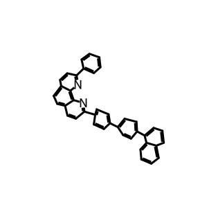 c1ccc(-c2ccc3ccc4ccc(-c5ccc(-c6ccc(-c7cccc8ccccc78)cc6)cc5)nc4c3n2)cc1